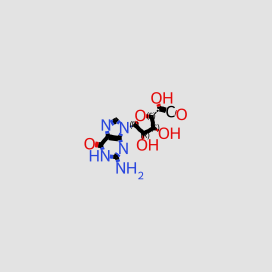 Nc1nc2c(ncn2[C@@H]2O[C@H](C(O)=C=O)[C@@H](O)[C@H]2O)c(=O)[nH]1